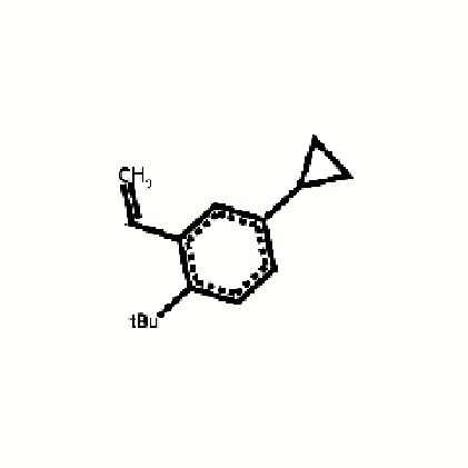 C=[C]c1cc(C2CC2)ccc1C(C)(C)C